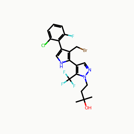 CC(C)(O)CCn1ncc(-c2[nH]cc(-c3c(F)cccc3Cl)c2CBr)c1C(F)(F)F